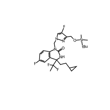 CC(F)(F)C1(CCC2CC2)NC(=O)N(Cn2cc(F)c(CO[Si](C)(C)C(C)(C)C)n2)c2ccc(F)cc21